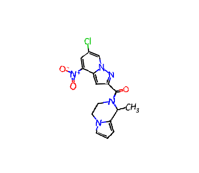 CC1c2cccn2CCN1C(=O)c1cc2c([N+](=O)[O-])cc(Cl)cn2n1